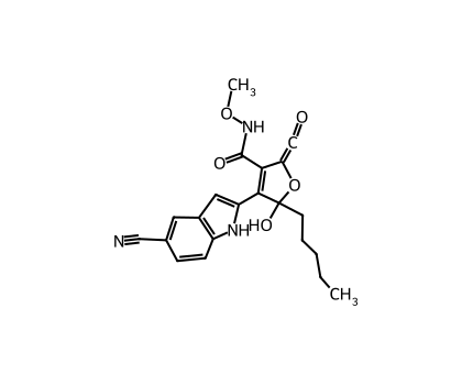 CCCCCC1(O)OC(=C=O)C(C(=O)NOC)=C1c1cc2cc(C#N)ccc2[nH]1